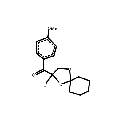 COc1ccc(C(=O)C2(C)COC3(CCCCC3)O2)cc1